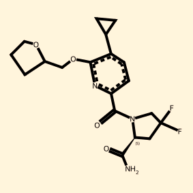 NC(=O)[C@@H]1CC(F)(F)CN1C(=O)c1ccc(C2CC2)c(OCC2CCCO2)n1